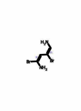 N/C=C(Br)\C=C(/N)Br